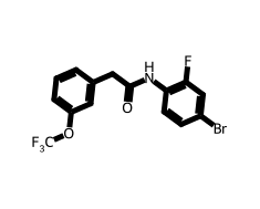 O=C(Cc1cccc(OC(F)(F)F)c1)Nc1ccc(Br)cc1F